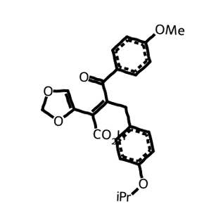 COc1ccc(C(=O)C(Cc2ccc(OC(C)C)cc2)=C(C(=O)O)C2=COCO2)cc1